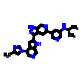 Cc1cn(-c2cncc3[nH]c(-c4n[nH]c5cnc(-c6cncc(NC(C)C)c6)cc45)cc23)cn1